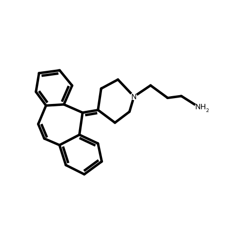 NCCCN1CCC(=C2c3ccccc3C=Cc3ccccc32)CC1